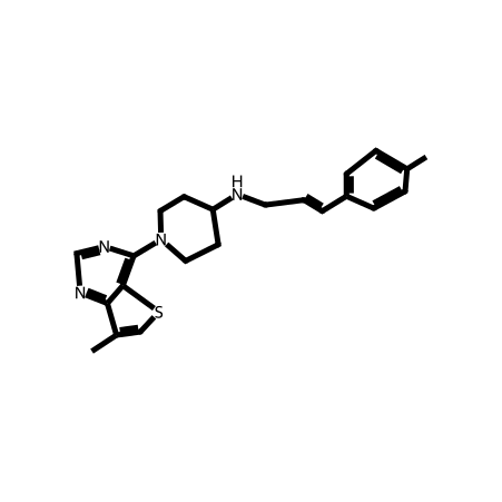 Cc1ccc(/C=C/CNC2CCN(c3ncnc4c(C)csc34)CC2)cc1